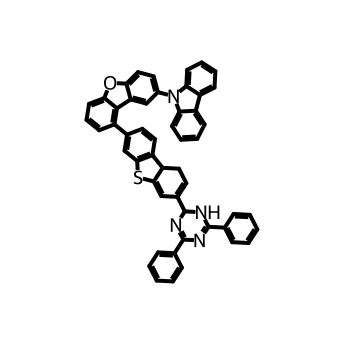 C1=C(C2N=C(c3ccccc3)N=C(c3ccccc3)N2)C=C2Sc3cc(-c4cccc5oc6ccc(-n7c8ccccc8c8ccccc87)cc6c45)ccc3C2C1